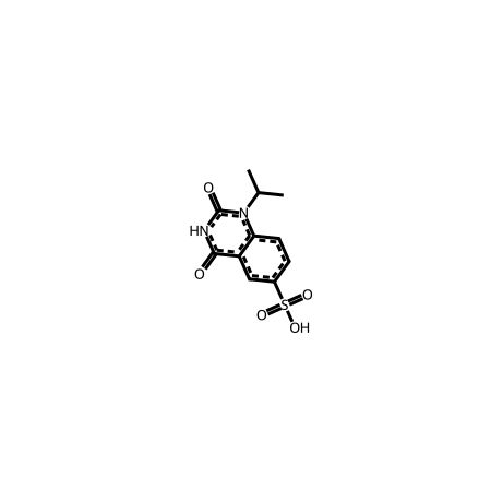 CC(C)n1c(=O)[nH]c(=O)c2cc(S(=O)(=O)O)ccc21